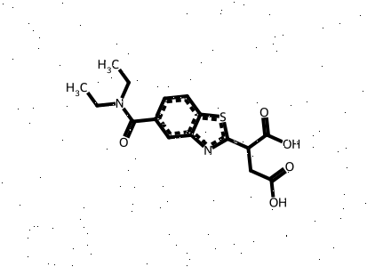 CCN(CC)C(=O)c1ccc2sc(C(CC(=O)O)C(=O)O)nc2c1